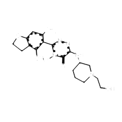 CCn1c(-c2c(C)cc3c(c2O)CCO3)nnc(N[C@@H]2CCCN(CCO)C2)c1=O